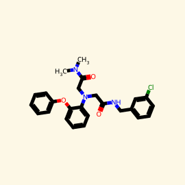 CN(C)C(=O)CN(CC(=O)NCc1cccc(Cl)c1)c1ccccc1Oc1ccccc1